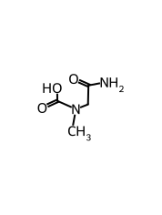 CN(CC(N)=O)C(=O)O